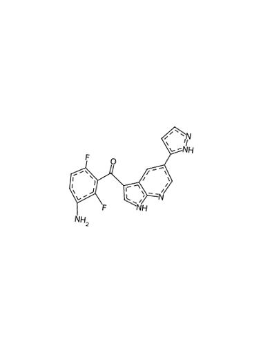 Nc1ccc(F)c(C(=O)c2c[nH]c3ncc(-c4ccn[nH]4)cc23)c1F